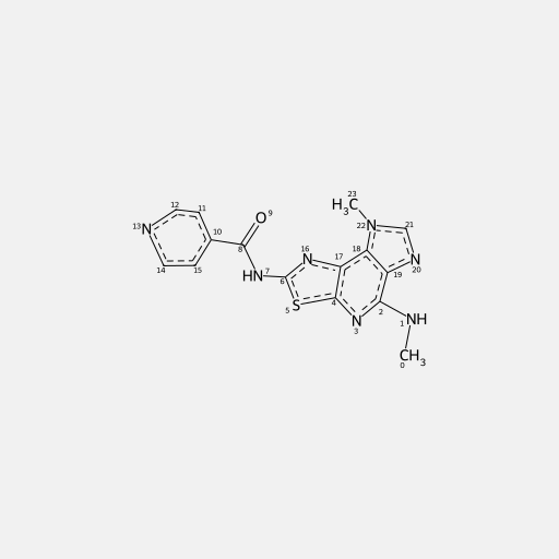 CNc1nc2sc(NC(=O)c3ccncc3)nc2c2c1ncn2C